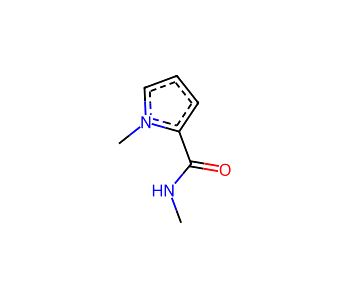 CNC(=O)c1cccn1C